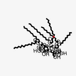 CCCCCCCCCCCCCC(=O)O[C@H](CCCCCCCCCCC)CC(=O)NCC(CO)(COC1OC(CO)[C@@H](OP(=O)(O)O)C(OC(=O)C[C@@H](CCCCCCCCCCC)OC(=O)CCCCCCCCCCCCC)[C@@H]1NC(=O)C[C@@H](CCCCCCCCCCC)OC(=O)CCCCCCCCCCCCC)COP(=O)(O)O